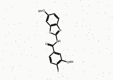 COc1ccc2nc(NC(=O)c3ccc(F)c(OC)c3)sc2c1